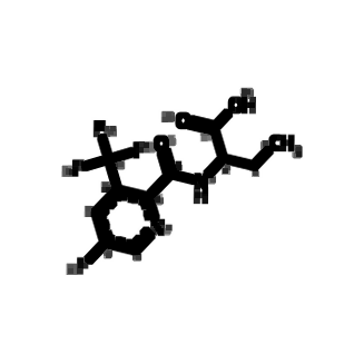 CCC(NC(=O)c1ncc(F)cc1C(F)(F)F)C(=O)O